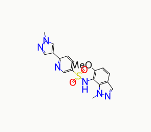 COc1ccc2cnn(C)c2c1NS(=O)(=O)c1ccc(-c2cnn(C)c2)nc1